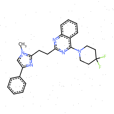 Cn1cc(-c2ccccc2)nc1CCc1nc(N2CCC(F)(F)CC2)c2ccccc2n1